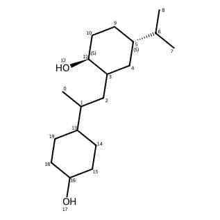 CC(CC1C[C@@H](C(C)C)CC[C@@H]1O)C1CCC(O)CC1